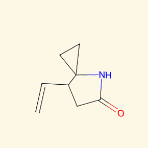 C=CC1CC(=O)NC12CC2